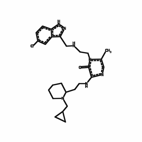 Cc1cnc(NCCC2CCCCN2CC2CC2)c(=O)n1CCNCc1n[nH]c2ccc(Cl)cc12